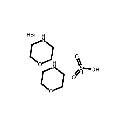 Br.C1COCCN1.C1COCCN1.O=[SH](=O)O